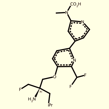 CC(C)C[C@](N)(CF)COc1ccc(-c2ccnc(N(C)C(=O)O)c2)nc1C(F)F